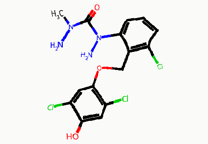 CN(N)C(=O)N(N)c1cccc(Cl)c1COc1cc(Cl)c(O)cc1Cl